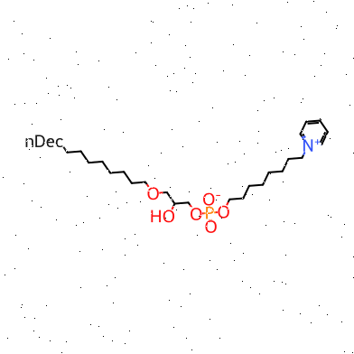 CCCCCCCCCCCCCCCCCCOCC(O)COP(=O)([O-])OCCCCCCCC[n+]1ccccc1